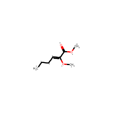 CCCC=C(OC)C(=O)OC